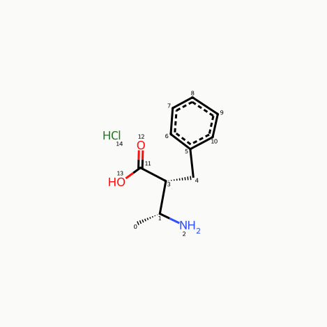 C[C@@H](N)[C@@H](Cc1ccccc1)C(=O)O.Cl